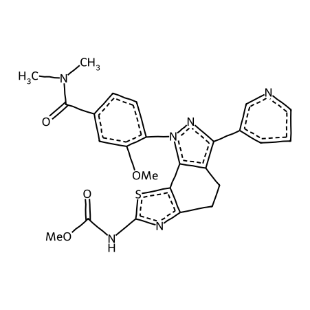 COC(=O)Nc1nc2c(s1)-c1c(c(-c3cccnc3)nn1-c1ccc(C(=O)N(C)C)cc1OC)CC2